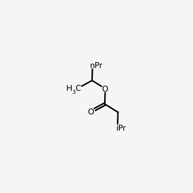 CCCC(C)OC(=O)CC(C)C